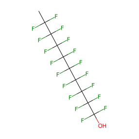 CC(F)(F)C(F)(F)C(F)(F)C(F)(F)C(F)(F)C(F)(F)C(F)(F)C(F)(F)C(O)(F)F